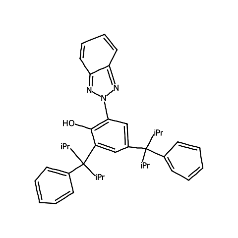 CC(C)C(c1ccccc1)(c1cc(-n2nc3ccccc3n2)c(O)c(C(c2ccccc2)(C(C)C)C(C)C)c1)C(C)C